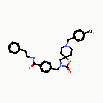 O=C(NCCc1ccccc1)c1ccc(CN2CC3(CCN(Cc4ccc(C(F)(F)F)cc4)CC3)OC2=O)cc1